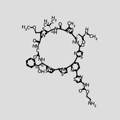 CNC(=O)C[C@@H]1NC(=O)c2csc(n2)-c2ccc(-c3nc(NC(=O)OCCN)cs3)nc2-c2csc(n2)-c2csc(n2)[C@H]([C@@H](O)c2ccccc2)NC(=O)CNC(=O)c2nc(sc2COC)[C@H](C(C)C)NC(=O)c2nc1sc2C